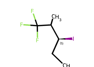 CC[C@H](I)C(C)C(F)(F)F